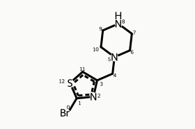 Brc1nc(CN2CCNCC2)cs1